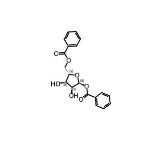 O=C(OC[C@@H]1O[C@@H](OC(=O)c2ccccc2)[C@@H](O)[C@H]1O)c1ccccc1